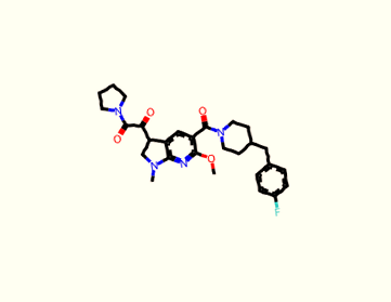 COc1nc2c(cc1C(=O)N1CCC(Cc3ccc(F)cc3)CC1)C(C(=O)C(=O)N1CCCC1)CN2C